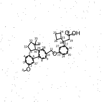 COc1cccc(-c2ccc(COc3cccc([C@H](CC(=O)O)C4CCC4)c3)cc2C2CCCC2(C)C)c1